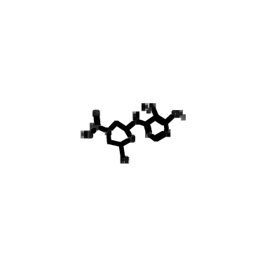 CCC1CN([PH](=O)O)CC(Nc2ncnc(C)c2N)O1